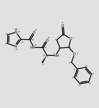 C[C@H](NC1CC(=O)OC1OCc1ccccc1)C(=O)NC(=O)c1ncc[nH]1